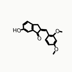 COc1ccc(C=C2Cc3ccc(O)cc3C2=O)c(OC)c1